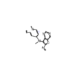 C=CC=CC(/C=C\N=C)N(C)c1c(N=C)oc2cncnc12